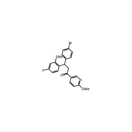 COc1ccc(C(=O)CC(c2ccc(Br)cc2)c2ccc(F)cc2SC)cn1